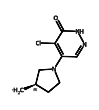 [CH2][C@@H]1CCN(c2cn[nH]c(=O)c2Cl)C1